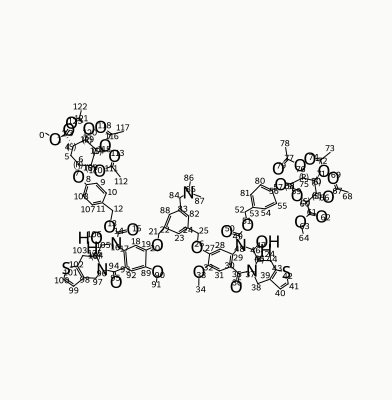 COC(=O)[C@H]1C[C@@H](Oc2ccc(COC(=O)N3c4cc(OCc5cc(COc6cc7c(cc6OC)C(=O)N6Cc8ccsc8C[C@H]6C(O)N7C(=O)OCc6ccc(O[C@@H]7O[C@H](C(=O)OC)[C@@H](OC(C)=O)[C@H](OC(C)=O)[C@H]7OC(C)=O)cc6)cc(CN(C)C)c5)c(OC)cc4C(=O)N4Cc5ccsc5C[C@H]4C3O)cc2)[C@H](OC(C)=O)[C@@H](OC(C)=O)[C@@H]1OC(C)=O